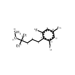 CCC(CC)(CCCc1c(F)cc(F)cc1F)O[SiH3]